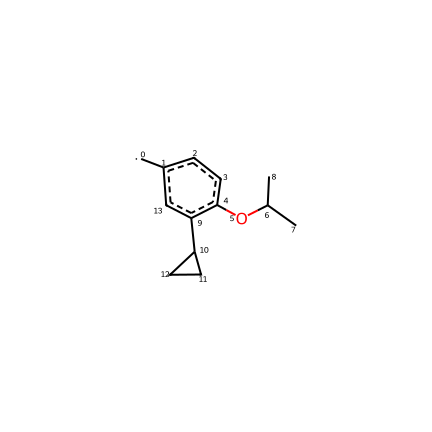 [CH2]c1ccc(OC(C)C)c(C2CC2)c1